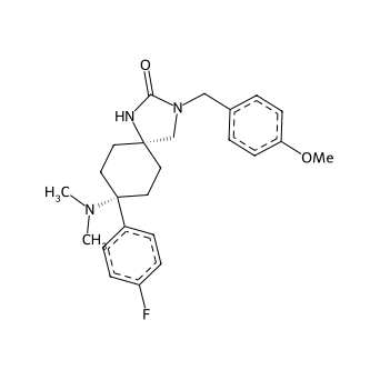 COc1ccc(CN2C[C@]3(CC[C@@](c4ccc(F)cc4)(N(C)C)CC3)NC2=O)cc1